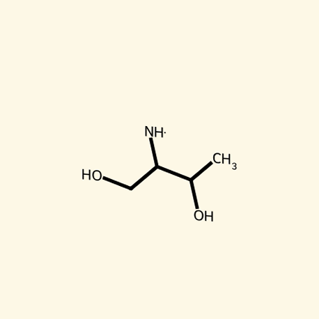 CC(O)C([NH])CO